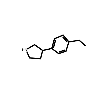 CCc1ccc(C2CCNC2)cc1